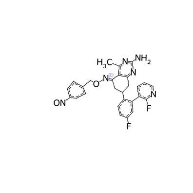 Cc1nc(N)nc2c1/C(=N/OCc1ccc(N=O)cc1)CC(c1ccc(F)cc1-c1cccnc1F)C2